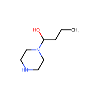 CCCC(O)N1CCNCC1